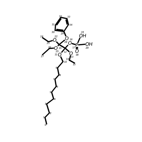 CCCCCCCCCCCOC(OCC)(OP(=O)(O)O)C(OCC)(OCC)Oc1ccccc1